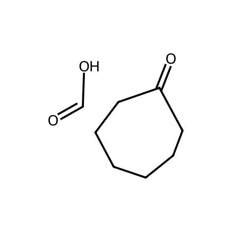 O=C1CCCCCC1.O=CO